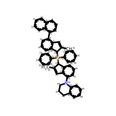 CC1=Cc2c(-c3cccc4ccccc34)cccc2C1S(c1ccccc1)(c1ccccc1)C1C(C)=Cc2c1cccc2N1CCCc2ccccc21